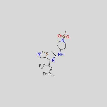 CC\C(C)=C/C(=C(\N=C(/C)NC1CCN(S(C)(=O)=O)CC1)c1cncs1)C(F)(F)F